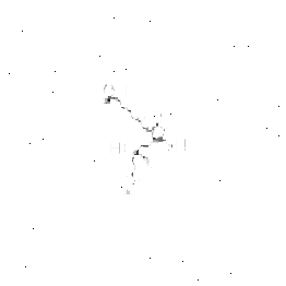 C#C[C@@](O)(C=C[C@H]1[C@H](O)CC(=O)[C@@H]1CCCCCCC(=O)O)CCCCC